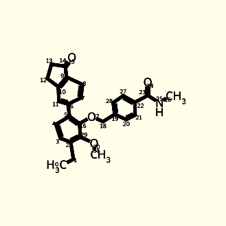 CCc1ccc(-c2ccc3c(c2)CCC3=O)c(OCc2ccc(C(=O)NC)cc2)c1OC